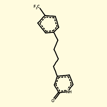 O=c1cc(CCCCc2ccc(C(F)(F)F)cc2)cc[nH]1